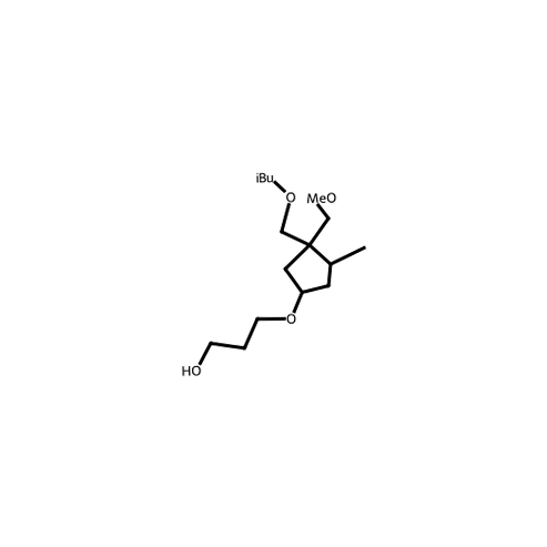 CCC(C)OCC1(COC)CC(OCCCO)CC1C